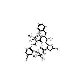 CC1CC(CC(O)C(Cc2ccccc2)N(N)C(=O)C(CSc2ccc(F)cc2)S(C)(=O)=O)C(C(=O)NC(C)(C)C)C1